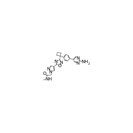 CNC(=O)Cn1cc(-c2nc(C3(c4ccc(-c5cnc(N)nc5)cc4)CCC3)no2)cn1